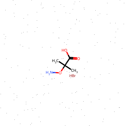 Br.CC(C)(ON)C(=O)O